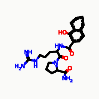 N=C(N)NCCCC(NC(=O)c1ccc2ccccc2c1O)C(=O)N1CCCC1C(N)=O